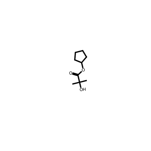 CC(C)(O)C(=O)OC1CCCC1